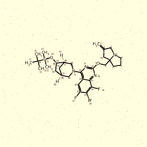 C=C1CN2CCCC2(COc2nc(N3C[C@@H]4C[C@H](C3)[C@H](O[Si](C)(C)C(C)(C)C)C4)c3cc(F)c(Br)c(F)c3n2)C1